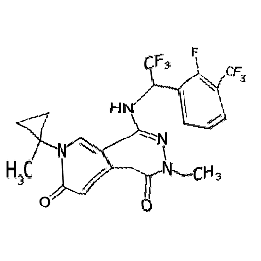 Cn1nc(NC(c2cccc(C(F)(F)F)c2F)C(F)(F)F)c2cn(C3(C)CC3)c(=O)cc2c1=O